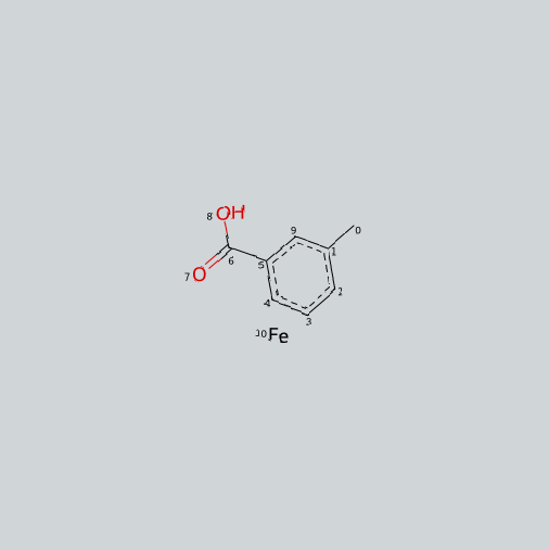 Cc1cccc(C(=O)O)c1.[Fe]